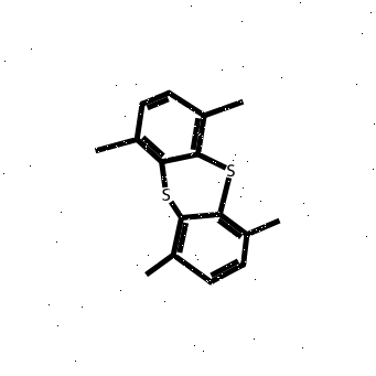 Cc1ccc(C)c2c1Sc1c(C)ccc(C)c1S2